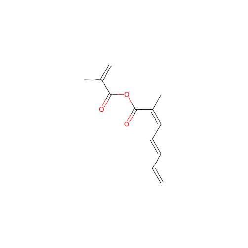 C=CC=CC=C(C)C(=O)OC(=O)C(=C)C